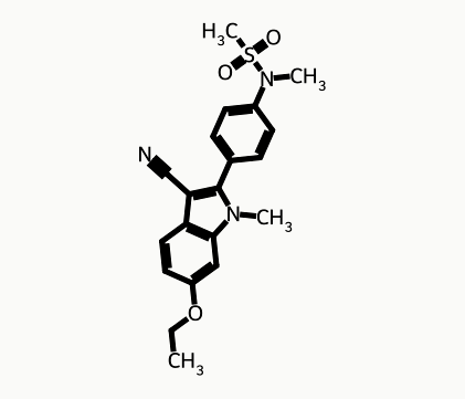 CCOc1ccc2c(C#N)c(-c3ccc(N(C)S(C)(=O)=O)cc3)n(C)c2c1